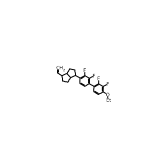 C=CC1CCC2C(c3ccc(-c4ccc(OCC)c(F)c4F)c(F)c3F)CCC12